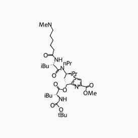 CCCN(C(=O)[C@@H](NC(=O)CCCCCNC)[C@@H](C)CC)[C@H](C[C@@H](OC(=O)[C@@H](NC(=O)OC(C)(C)C)[C@@H](C)CC)c1nc(C(=O)OC)cs1)C(C)C